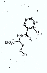 CCOCC(NC(=O)c1ccccc1C)C(=O)OCC